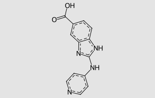 O=C(O)c1ccc2[nH]c(Nc3ccncc3)nc2c1